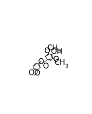 COc1cc(C(=O)Oc2ccc3c(c2)OCO3)cc(OC)c1O